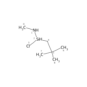 CN[SiH](Cl)CC(C)(C)C